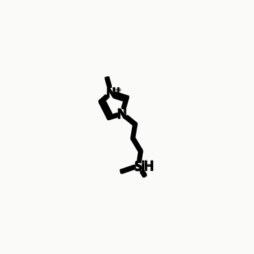 C[n+]1ccn(CCC[SiH](C)C)c1